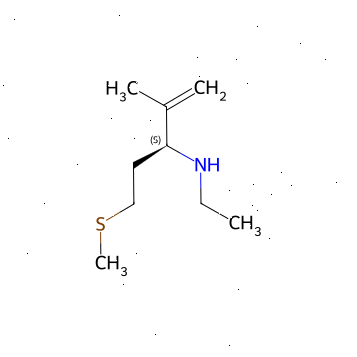 C=C(C)[C@H](CCSC)NCC